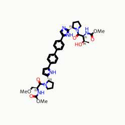 COC[C@H](NC(=O)OC)C(=O)N1CCC[C@H]1c1ccc(-c2ccc(-c3ccc(-c4cnc([C@@H]5CCCN5C(=O)[C@@H](NC(=O)OC)[C@@H](C)O)[nH]4)cc3)cc2)[nH]1